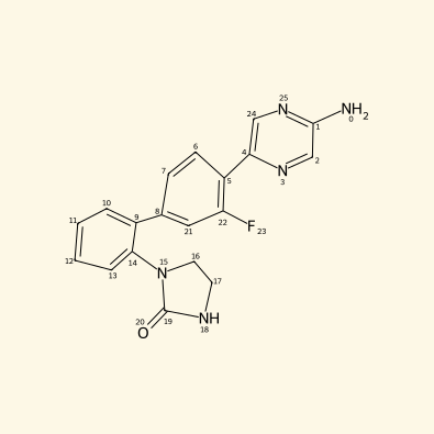 Nc1cnc(-c2ccc(-c3ccccc3N3CCNC3=O)cc2F)cn1